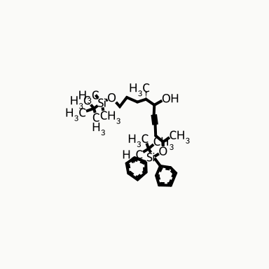 CC(CC#CC(O)[C@@H](C)CCCO[Si](C)(C)C(C)(C)C)O[Si](c1ccccc1)(c1ccccc1)C(C)(C)C